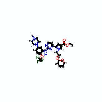 CCOC(=O)c1cc(-c2ccnc(Nc3cc(N4CCN(C)CC4)ccc3OC(F)(F)F)n2)n(CCOC2CCCCO2)c1